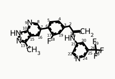 C=C(Cc1ccc(-c2cnc3[nH]nc(C)c3c2)c(F)c1)Nc1cncc(C(F)(F)F)c1